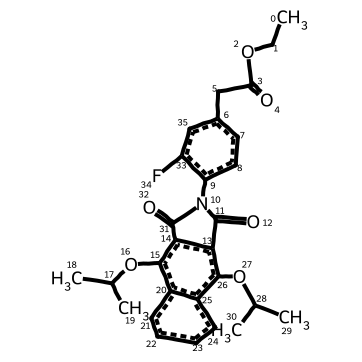 CCOC(=O)Cc1ccc(N2C(=O)c3c(c(OC(C)C)c4ccccc4c3OC(C)C)C2=O)c(F)c1